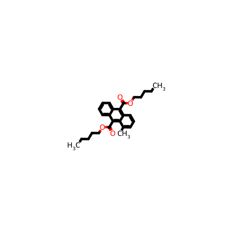 CCCCCOC(=O)c1c2ccccc2c(C(=O)OCCCCC)c2c(C)cccc12